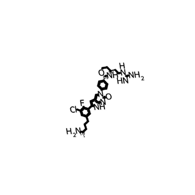 C[C@H](N)CCCc1cc(Cl)c(F)c(-c2cc3cn(-c4ccc([C@H]5N[C@H](CCNC(=N)N)CCO5)cc4)c(=O)nc3[nH]2)c1